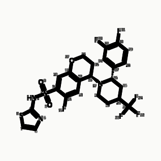 O=S(=O)(Nc1nccs1)c1cc2c(cc1F)[C@H](N1CCC(C(F)(F)F)C[C@H]1c1ccc(F)c(F)c1)CCO2